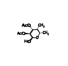 CC(=O)O[C@@H]1[C@H](C)[C@H](C)O[C@@H](O)[C@H]1OC(C)=O